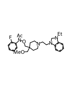 CCN1CN(CCN2CCC(COC)(CON(C(C)=O)c3ccccc3F)CC2)c2ccccc21